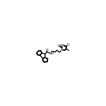 Cc1cn(CCCCNC(=O)C2c3ccccc3-c3ccccc32)c(=O)[nH]c1=O